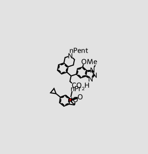 CCCCCN1CCc2c(cccc2C(CC(=O)O)c2cc(OC)c3c(c2)nnn3C)C1.CCCN1C(=O)C2Oc3c2ccc(C2CC2)c31